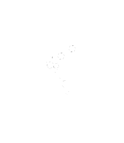 CN(CC=CC(=O)N1CC[C@@H](n2c(Cl)c(-c3ccc(Oc4ccccc4)cc3)c3c(N)ncnc32)C1)[C@@H]1CCOC1